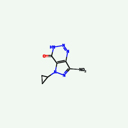 O=c1[nH]nnc2c([N+](=O)[O-])nn(C3CC3)c12